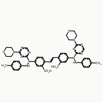 Cc1ccc(NN(c2ccc(/C=C/c3ccc(N(Nc4ccc(C)cc4)c4ncnc(N5CCOCC5)n4)cc3S(=O)(=O)O)c(S(=O)(=O)O)c2)c2ncnc(N3CCOCC3)n2)cc1